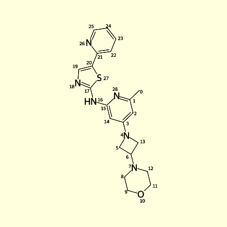 Cc1cc(N2CC(N3CCOCC3)C2)cc(Nc2ncc(-c3ccccn3)s2)n1